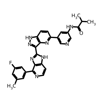 Cc1cc(F)cc(-c2nccc3[nH]c(-c4n[nH]c5ccc(-c6cncc(NC(=O)C(C)C)c6)nc45)nc23)c1